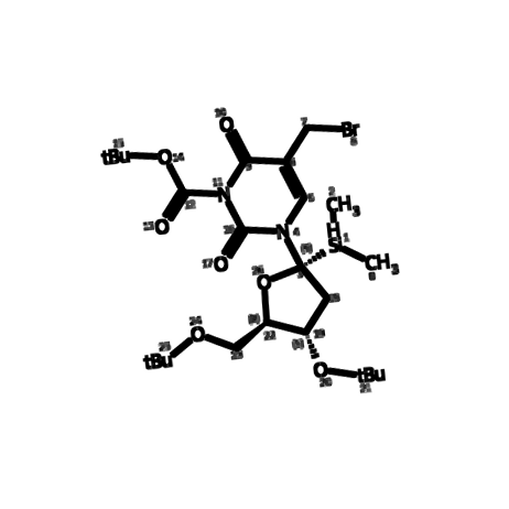 C[SiH](C)[C@]1(n2cc(CBr)c(=O)n(C(=O)OC(C)(C)C)c2=O)C[C@H](OC(C)(C)C)[C@@H](COC(C)(C)C)O1